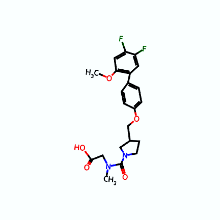 COc1cc(F)c(F)cc1-c1ccc(OCC2CCN(C(=O)N(C)CC(=O)O)C2)cc1